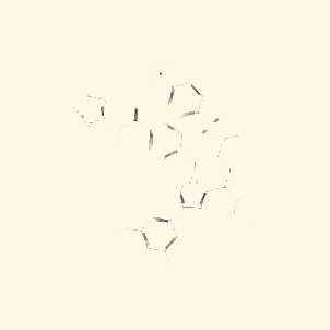 CCC(CCN(C)S(=O)(=O)c1ccc(C(F)(F)F)cc1)c1cc(-c2cc(Cl)cc(Cl)c2)nn1Cc1ccc(C(=O)Nc2nn[nH]n2)cc1